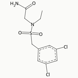 CCN(CC(N)=O)S(=O)(=O)Cc1cc(Cl)cc(Cl)c1